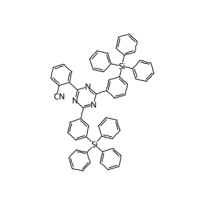 N#Cc1ccccc1-c1nc(-c2cccc([Si](c3ccccc3)(c3ccccc3)c3ccccc3)c2)nc(-c2cccc([Si](c3ccccc3)(c3ccccc3)c3ccccc3)c2)n1